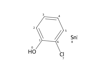 Oc1ccccc1Cl.[Sn]